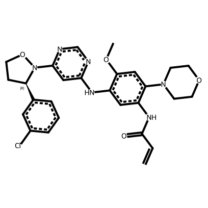 C=CC(=O)Nc1cc(Nc2cc(N3OCC[C@@H]3c3cccc(Cl)c3)ncn2)c(OC)cc1N1CCOCC1